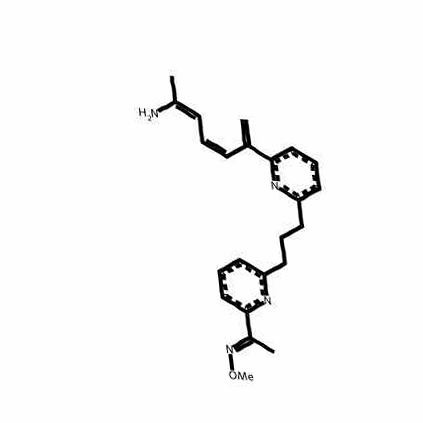 C=C(/C=C\C=C(\C)N)c1cccc(CCCc2cccc(/C(C)=N/OC)n2)n1